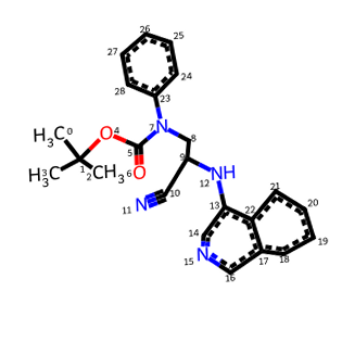 CC(C)(C)OC(=O)N(CC(C#N)Nc1cncc2ccccc12)c1ccccc1